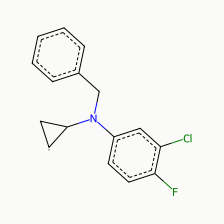 Fc1ccc(N(Cc2ccccc2)C2[CH]C2)cc1Cl